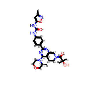 Cc1cc(NC(=O)Nc2ccc(-c3nc4c(c(N5CCOC[C@@H]5C)n3)CCN(C(=O)C(C)(C)O)C4)cc2)on1